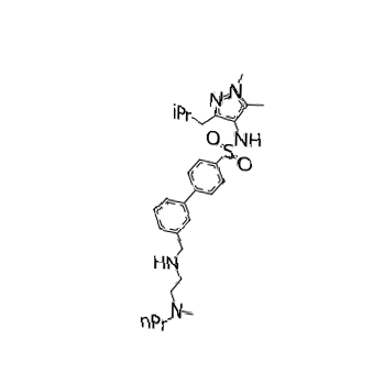 CCCN(C)CCNCc1cccc(-c2ccc(S(=O)(=O)Nc3c(CC(C)C)nn(C)c3C)cc2)c1